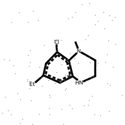 CCc1cc(Cl)c2c(c1)NCCN2C